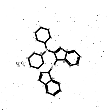 C1=C[CH]([Hf+2][CH]2C(P(C3CCCCC3)C3CCCCC3)=Cc3ccccc32)c2ccccc21.[Cl-].[Cl-]